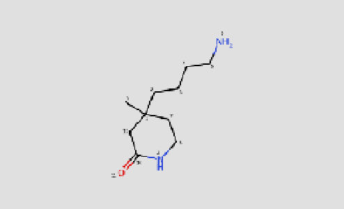 CC1(CCCCN)CCNC(=O)C1